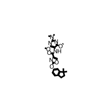 COc1nc(N(C)C)nc(OC)c1NC(=O)c1coc(Oc2ccc3c(c2)C(C)(C)CC3)n1